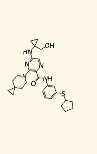 O=C(Nc1cccc(SC2CCCC2)c1)c1ncc(NC2(CO)CC2)nc1N1CCC2(CC1)CC2